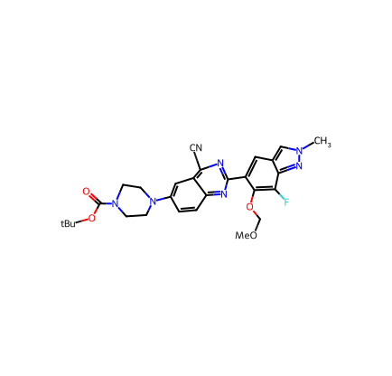 COCOc1c(-c2nc(C#N)c3cc(N4CCN(C(=O)OC(C)(C)C)CC4)ccc3n2)cc2cn(C)nc2c1F